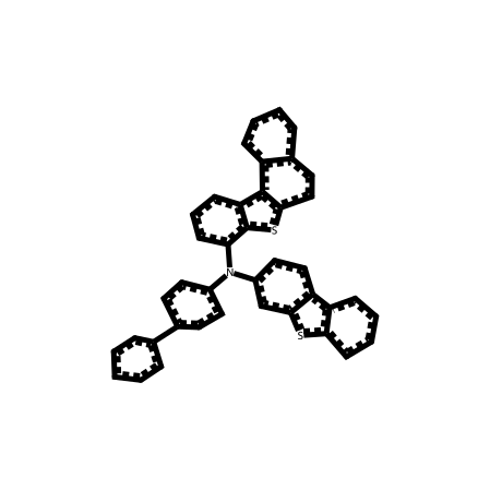 c1ccc(-c2ccc(N(c3ccc4c(c3)sc3ccccc34)c3cccc4c3sc3ccc5ccccc5c34)cc2)cc1